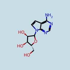 Nc1ncnc2c1ccn2C1O[C@H](CO)[C@@H](O)[C@H]1O